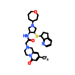 O=C(CN1CCn2c(cc(C(F)(F)F)cc2=O)C1)NC1CN(C2CCCOCC2)C[C@@H]1SC1CCc2cccnc21